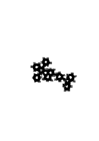 c1ccc(-c2c3c(c(-c4ccccc4)c4ccccc24)-c2ccc(-c4ccc(-n5c6ncccc6c6cccnc65)cc4)c4cccc-3c24)cc1